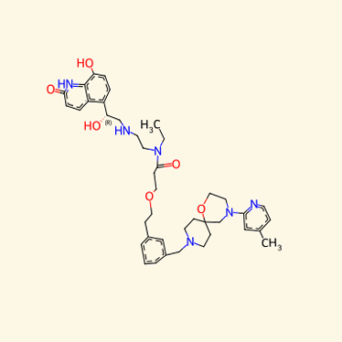 CCN(CCNC[C@H](O)c1ccc(O)c2[nH]c(=O)ccc12)C(=O)CCOCCc1cccc(CN2CCC3(CC2)CN(c2cc(C)ccn2)CCO3)c1